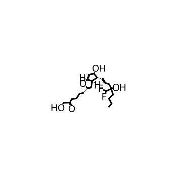 CCCCC(O)(CC=C[C@@H]1[C@H]2C[C@H](CCCCC(=O)CO)O[C@@H]2C[C@H]1O)C(F)F